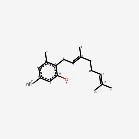 CCCc1cc(C)c(C/C=C(\C)CCC=C(C)C)c(O)c1